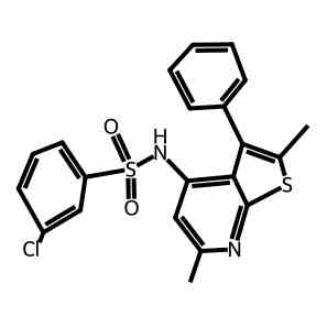 Cc1cc(NS(=O)(=O)c2cccc(Cl)c2)c2c(-c3ccccc3)c(C)sc2n1